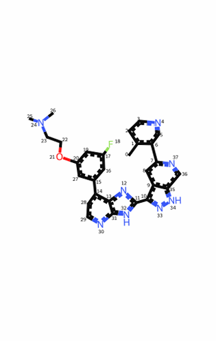 Cc1ccncc1-c1cc2c(-c3nc4c(-c5cc(F)cc(OCCN(C)C)c5)ccnc4[nH]3)n[nH]c2cn1